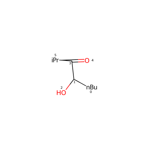 CCCCC(O)C(=O)C(C)C